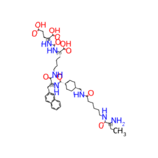 CC[C@H](N)C(=O)NCCCCCC(=O)NC[C@H]1CC[C@H](C(=O)N[C@@H](Cc2ccc3ccccc3c2)C(=O)NCCCC[C@H](NC(=O)N[C@@H](CCC(=O)O)C(=O)O)C(=O)O)CC1